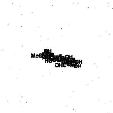 CO[C@@H]1CC(O)[C@H](O[C@@H]2CC(O)[C@H](O[C@@H]3CC[C@H](O[C@@H]4O[C@@H](C=O)[C@@H](O[C@@H]5CC(O)[C@H](O)[C@H](C)O5)C(O)[C@@H]4O)C(C)O3)CO2)C(C)O1